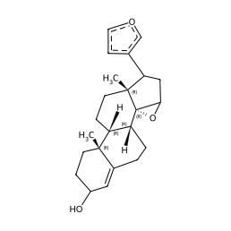 C[C@]12CCC(O)C=C1CC[C@@H]1[C@H]2CC[C@]2(C)C(c3ccoc3)CC3O[C@]312